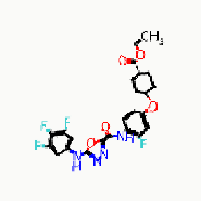 CCOC(=O)[C@H]1CC[C@@H](Oc2ccc(NC(=O)c3nnc(Nc4cc(F)c(F)c(F)c4)o3)c(F)c2)CC1